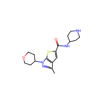 Cc1nn(C2CCOCC2)c2sc(C(=O)NC3CCNCC3)cc12